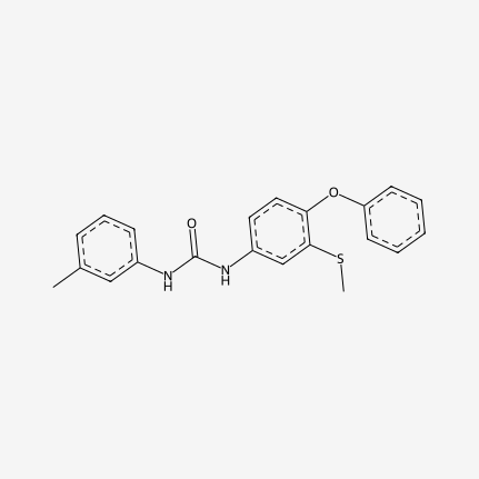 CSc1cc(NC(=O)Nc2cccc(C)c2)ccc1Oc1ccccc1